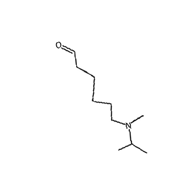 CC(C)N(C)CCCCCC=O